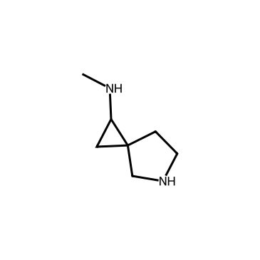 CNC1CC12CCNC2